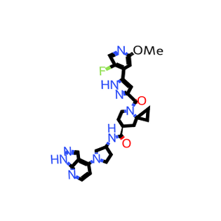 COc1cc(-c2cc(C(=O)N3CC[C@H](C(=O)NC4CCN(c5ccnc6[nH]ncc56)C4)CC34CC4)n[nH]2)c(F)cn1